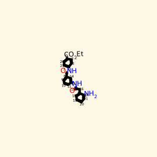 CCOC(=O)c1ccc(NC(=O)c2cccc(NC(=O)Cc3ccccc3N)c2)cc1